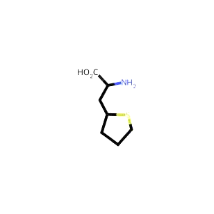 NC(CC1CCCS1)C(=O)O